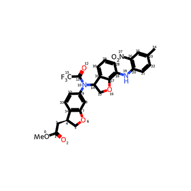 COC(=O)C[C@@H]1COc2cc(N(C(=O)C(F)(F)F)C3COc4c(Nc5ccc(C)cc5[N+](=O)[O-])cccc43)ccc21